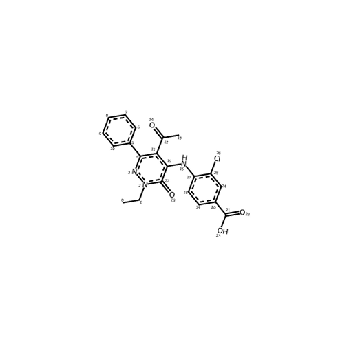 CCn1nc(-c2ccccc2)c(C(C)=O)c(Nc2ccc(C(=O)O)cc2Cl)c1=O